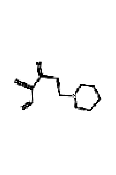 C=CC(=C)C(=C)CCN1CCCCC1